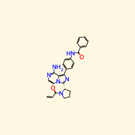 C=CC(=O)N1CCC[C@H]1c1nc(-c2ccc(NC(=O)c3ccccc3)cc2)c2c(N)nccn12